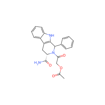 CC(=O)OCC(=O)N1C(c2ccccc2)c2[nH]c3ccccc3c2C[C@H]1C(N)=O